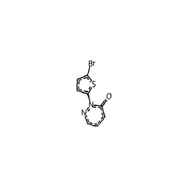 O=c1cccnn1-c1ccc(Br)s1